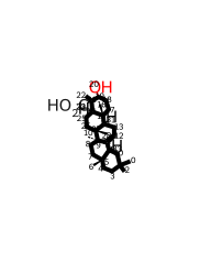 CC1(C)CC[C@]2(C)CC[C@]3(C)C(=CC[C@@H]4[C@@]5(C)CC[C@@H](O)[C@@](C)(C(=O)O)[C@@H]5CC[C@]43C)[C@@H]2C1